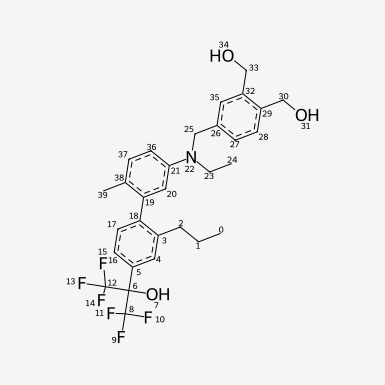 CCCc1cc(C(O)(C(F)(F)F)C(F)(F)F)ccc1-c1cc(N(CC)Cc2ccc(CO)c(CO)c2)ccc1C